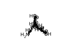 NCCCNCCNC[C@](CN)(NCCNNC(=O)CCCC(=O)O)NC(=O)CCCC(=O)O